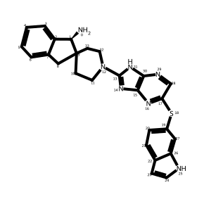 N[C@@H]1c2ccccc2CC12CCN(c1nc3nc(Sc4ccc5cc[nH]c5c4)cnc3[nH]1)CC2